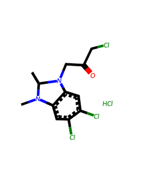 CC1N(C)c2cc(Cl)c(Cl)cc2N1CC(=O)CCl.Cl